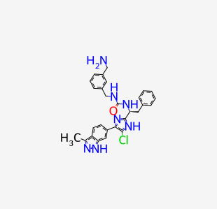 Cc1n[nH]c2cc(-c3nc([C@H](Cc4ccccc4)NC(=O)NCc4cccc(CN)c4)[nH]c3Cl)ccc12